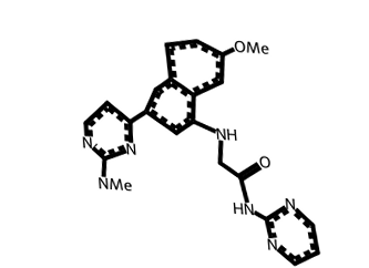 CNc1nccc(-c2cc(NCC(=O)Nc3ncccn3)c3cc(OC)ccc3c2)n1